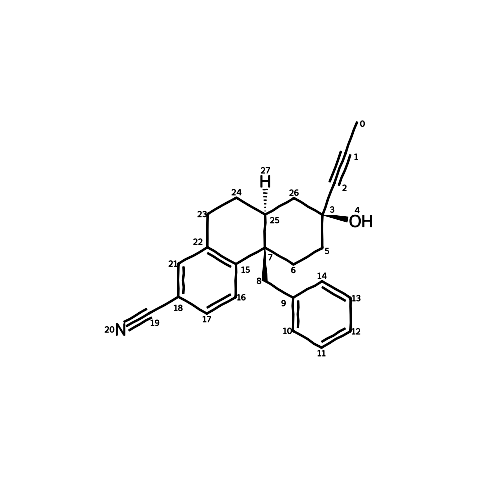 CC#C[C@]1(O)CC[C@]2(Cc3ccccc3)c3ccc(C#N)cc3CC[C@H]2C1